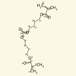 C=C(C)C(=O)OCCCCO[PH](=O)OCCCCOC(=O)C(=C)C